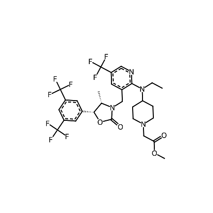 CCN(c1ncc(C(F)(F)F)cc1CN1C(=O)O[C@H](c2cc(C(F)(F)F)cc(C(F)(F)F)c2)[C@@H]1C)C1CCN(CC(=O)OC)CC1